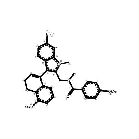 COc1ccc(C(=O)N(C)Cc2c(C3=CCCc4c(OC)cccc43)c3ccc(C(=O)O)cc3n2C)cc1